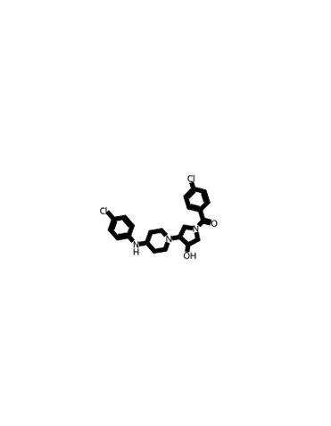 O=C(c1ccc(Cl)cc1)N1CC(O)C(N2CCC(Nc3ccc(Cl)cc3)CC2)C1